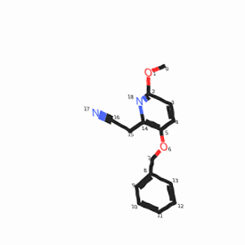 COc1ccc(OCc2ccccc2)c(CC#N)n1